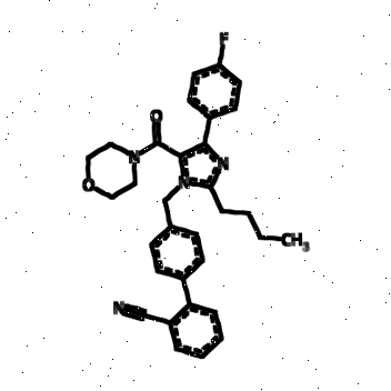 CCCCc1nc(-c2ccc(F)cc2)c(C(=O)N2CCOCC2)n1Cc1ccc(-c2ccccc2C#N)cc1